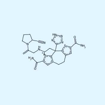 C=C(CN[C@H](C)CC1(c2nn[nH]n2)c2sc(C(N)=O)cc2CCc2cc(C(N)=O)sc21)N1CCCC1C#N